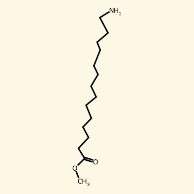 COC(=O)CCCCCCCCCCCCCN